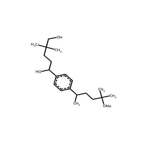 COC(C)(C)CCC(C)c1ccc(C(O)CCC(C)(C)CO)cc1